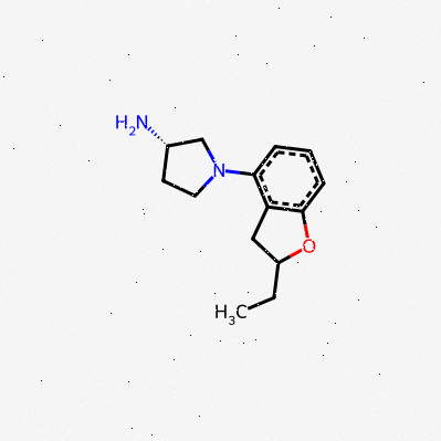 CCC1Cc2c(cccc2N2CC[C@H](N)C2)O1